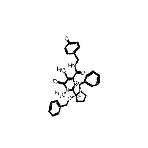 Cn1c([C@@]2(OCc3ccccc3)CCCN2C(=O)c2ccccc2)nc(C(=O)NCc2ccc(F)cc2)c(O)c1=O